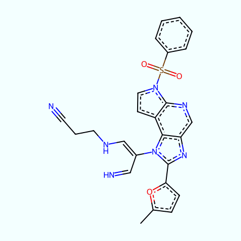 Cc1ccc(-c2nc3cnc4c(ccn4S(=O)(=O)c4ccccc4)c3n2/C(C=N)=C/NCCC#N)o1